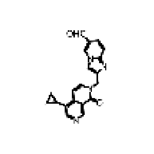 O=Cc1ccc2nc(Cn3ccc4c(C5CC5)cncc4c3=O)cn2c1